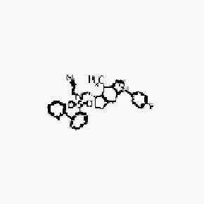 C[C@@H]1C2=C(CC[C@@H]2CN(CC#N)S(=O)(=O)c2ccccc2-c2ccccc2)Cc2c1cnn2-c1ccc(F)cc1